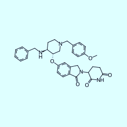 COc1ccc(CN2CC[C@H](NCc3ccccc3)[C@@H](Oc3ccc4c(c3)CN(C3CCC(=O)NC3=O)C4=O)C2)cc1